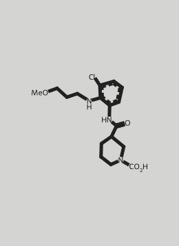 COCCCNc1c(Cl)cccc1NC(=O)C1CCCN(C(=O)O)C1